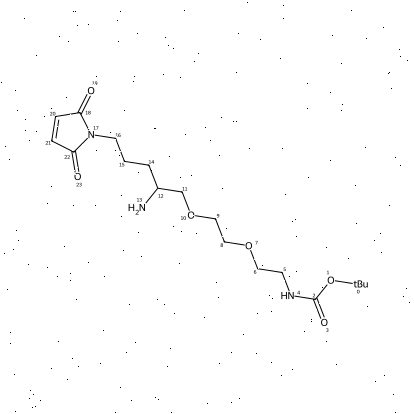 CC(C)(C)OC(=O)NCCOCCOCC(N)CCCN1C(=O)C=CC1=O